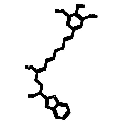 COc1cc(C=CCCC=CC=C(C)CCC(O)c2cc3ccccc3o2)cc(OC)c1OC